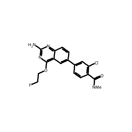 CNC(=O)c1ccc(-c2ccc3nc(N)nc(OCCF)c3c2)cc1Cl